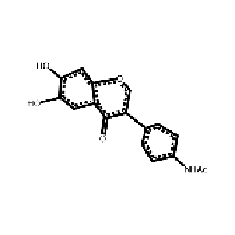 CC(=O)Nc1ccc(-c2coc3cc(O)c(O)cc3c2=O)cc1